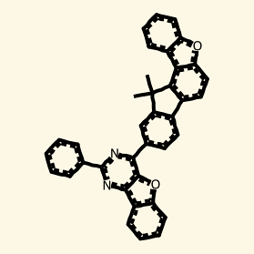 CC1(C)c2cc(-c3nc(-c4ccccc4)nc4c3oc3ccccc34)ccc2-c2ccc3oc4ccccc4c3c21